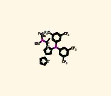 C[C@@H]([c-]1cccc1P(c1cc(C(F)(F)F)cc(C(F)(F)F)c1)c1cc(C(F)(F)F)cc(C(F)(F)F)c1)P(C(C)(C)C)C(C)(C)C.[Fe+2].c1cc[cH-]c1